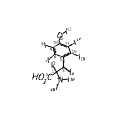 O=C(O)C(I)(C(I)c1c(I)c(I)c(OI)c(I)c1I)N(I)I